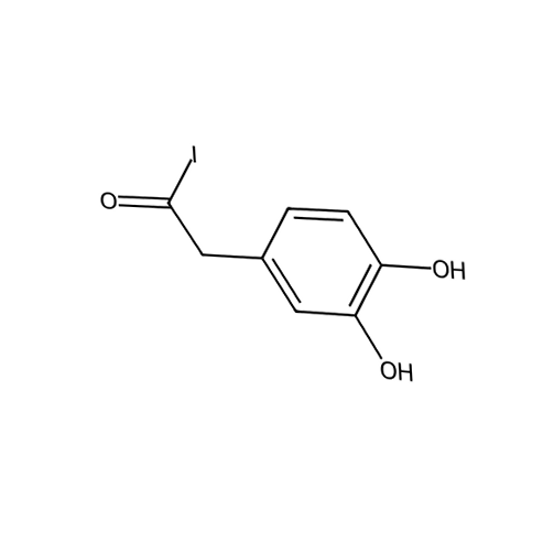 O=C(I)Cc1ccc(O)c(O)c1